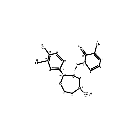 N#Cc1cccn(C[C@@H]2CN(C(=O)O)CCO[C@H]2c2ccc(Cl)c(Cl)c2)c1=O